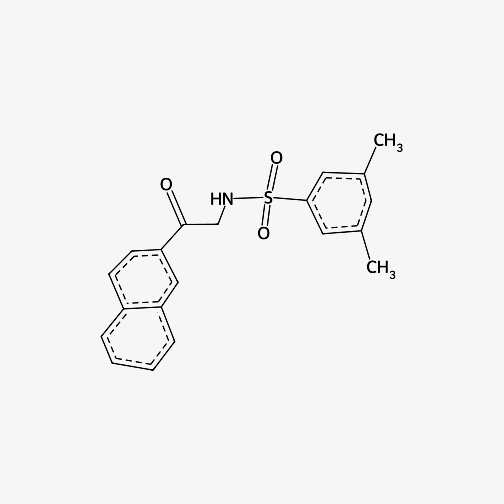 Cc1cc(C)cc(S(=O)(=O)NCC(=O)c2ccc3ccccc3c2)c1